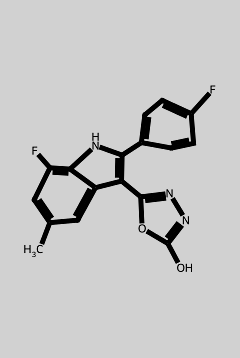 Cc1cc(F)c2[nH]c(-c3ccc(F)cc3)c(-c3nnc(O)o3)c2c1